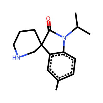 Cc1ccc2c(c1)C1(CCCNC1)C(=O)N2C(C)C